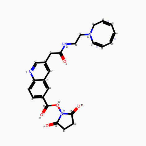 O=C(Cc1cnc2ccc(C(=O)ON3C(=O)CCC3=O)cc2c1)NCCN1\C=C/C=C\C=C/C1